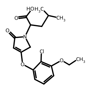 CCOc1cccc(OC2=CC(=O)N(C(CC(C)C)C(=O)O)C2)c1Cl